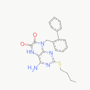 CCCCSc1nc(N)c2[nH]c(=O)c(=O)n(Cc3ccccc3-c3ccccc3)c2n1